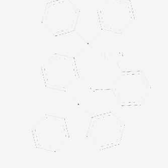 CC(c1ccccc1)(c1ccccc1)c1cccc2c1N(c1ccccc1[N+](=O)[O-])C2(c1ccccc1)c1ccccc1